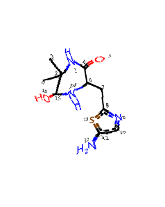 CC1(C)NC(=O)C(Cc2ncc(N)s2)NC1O